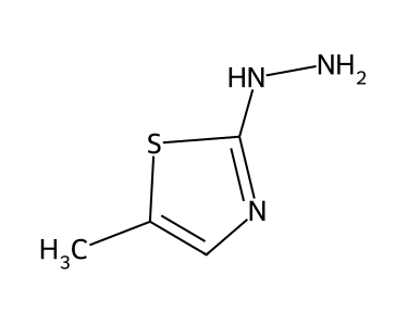 Cc1cnc(NN)s1